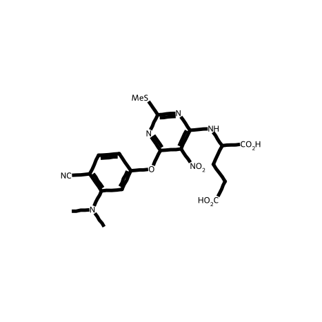 CSc1nc(NC(CCC(=O)O)C(=O)O)c([N+](=O)[O-])c(Oc2ccc(C#N)c(N(C)C)c2)n1